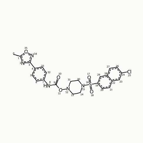 Cc1nc(-c2ccc(NC(=O)ON3CCN(S(=O)(=O)c4ccc5cc(Cl)ccc5c4)CC3)cc2)no1